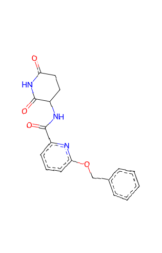 O=C1CCC(NC(=O)c2cccc(OCc3ccccc3)n2)C(=O)N1